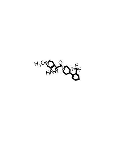 CN1CCc2c(C(=O)N3CCC(c4ccccc4C(F)(F)F)CC3)n[nH]c2C1